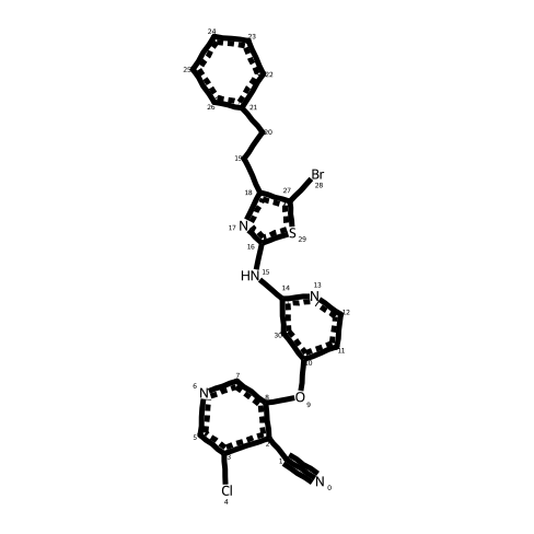 N#Cc1c(Cl)cncc1Oc1ccnc(Nc2nc(CCc3ccccc3)c(Br)s2)c1